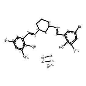 CC(=O)[O-].CC(=O)[O-].CCc1cc(C)c(O)c(C=NC2CCCC(N=Cc3cc(CC)cc(C)c3O)C2)c1.[Co+2]